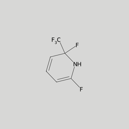 FC1=CC=CC(F)(C(F)(F)F)N1